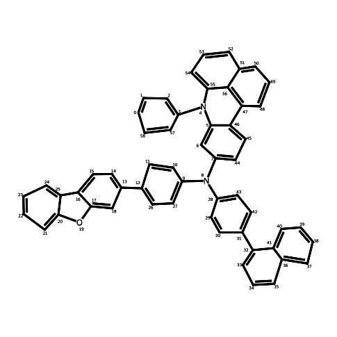 c1ccc(N2c3cc(N(c4ccc(-c5ccc6c(c5)oc5ccccc56)cc4)c4ccc(-c5cccc6ccccc56)cc4)ccc3-c3cccc4cccc2c34)cc1